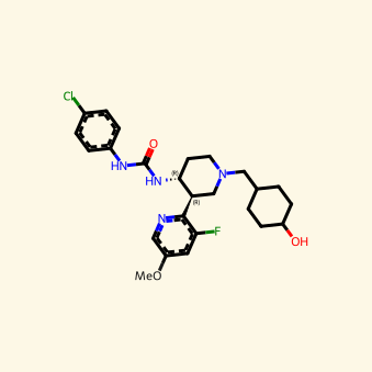 COc1cnc([C@@H]2CN(CC3CCC(O)CC3)CC[C@H]2NC(=O)Nc2ccc(Cl)cc2)c(F)c1